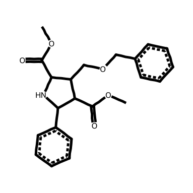 COC(=O)C1NC(c2ccccc2)C(C(=O)OC)C1COCc1ccccc1